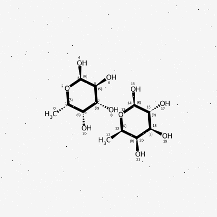 C[C@@H]1O[C@@H](O)[C@@H](O)[C@H](O)[C@@H]1O.C[C@H]1O[C@@H](O)[C@H](O)[C@@H](O)[C@H]1O